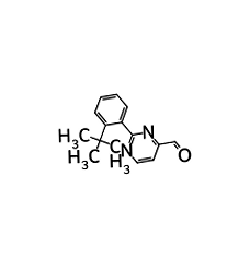 CC(C)(C)c1ccccc1-c1nccc(C=O)n1